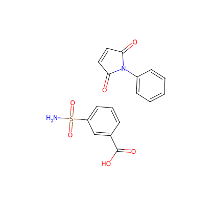 NS(=O)(=O)c1cccc(C(=O)O)c1.O=C1C=CC(=O)N1c1ccccc1